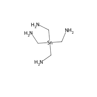 N[CH2][Sn]([CH2]N)([CH2]N)[CH2]N